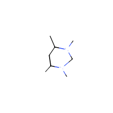 CCC1CC(C)N(C)CN1C